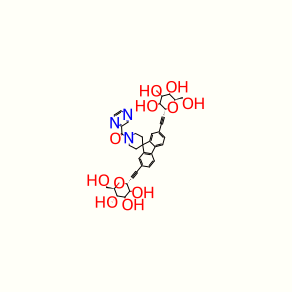 O=C(c1cnccn1)N1CCC2(CC1)c1cc(C#C[C@H]3O[C@H](CO)[C@@H](O)[C@H](O)[C@@H]3O)ccc1-c1ccc(C#C[C@H]3O[C@H](CO)[C@@H](O)[C@H](O)[C@@H]3O)cc12